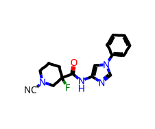 N#CN1CCCC(F)(C(=O)Nc2cn(-c3ccccc3)cn2)C1